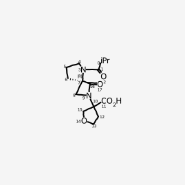 CC(C)C(=O)N1CCC[C@]12CN(C1(C(=O)O)CCOC1)C2=O